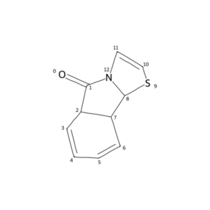 O=C1C2C=CC=CC2C2SC=CN12